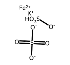 O=S(=O)([O-])O.O=S(=O)([O-])[O-].[Fe+2].[K+]